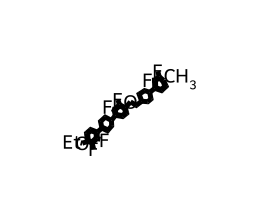 CCOc1ccc(C2=CCC(c3ccc(OCC4CCC(c5ccc(C)c(F)c5F)CC4)c(F)c3F)CC2)c(F)c1F